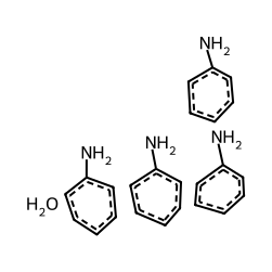 Nc1ccccc1.Nc1ccccc1.Nc1ccccc1.Nc1ccccc1.O